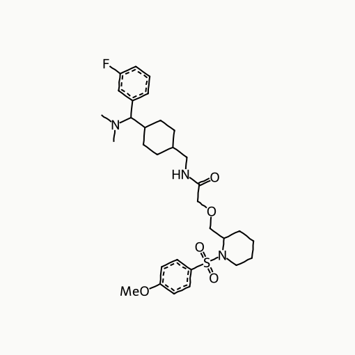 COc1ccc(S(=O)(=O)N2CCCCC2COCC(=O)NCC2CCC(C(c3cccc(F)c3)N(C)C)CC2)cc1